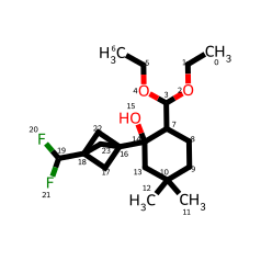 CCOC(OCC)C1CCC(C)(C)CC1(O)C12CC(C(F)F)(C1)C2